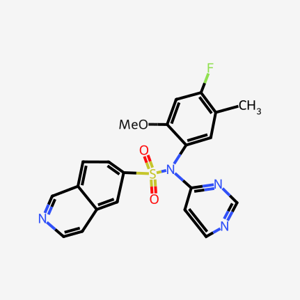 COc1cc(F)c(C)cc1N(c1ccncn1)S(=O)(=O)c1ccc2cnccc2c1